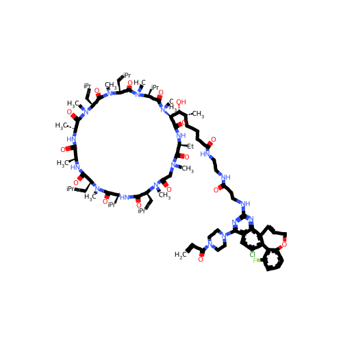 C=CC(=O)N1CCN(c2nc(NCCC(=O)NCCNC(=O)CCC[C@@H](C)[C@@H](O)[C@H]3C(=O)N[C@@H](CC)C(=O)N(C)CC(=O)N(C)[C@@H](CC(C)C)C(=O)N[C@@H](C(C)C)C(=O)N(C)[C@@H](CC(C)C)C(=O)N[C@@H](C)C(=O)N[C@H](C)C(=O)N(C)[C@@H](CC(C)C)C(=O)N(C)[C@@H](CC(C)C)C(=O)N(C)[C@@H](C(C)C)C(=O)N3C)nc3c4c(c(Cl)cc23)-c2c(F)cccc2OC/C=C/4)CC1